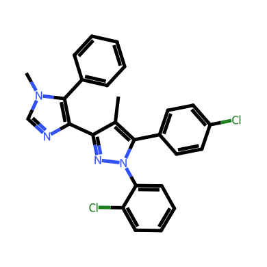 Cc1c(-c2ncn(C)c2-c2ccccc2)nn(-c2ccccc2Cl)c1-c1ccc(Cl)cc1